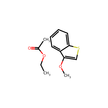 CCOC(C)=O.COc1csc2ccccc12